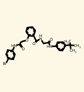 CC(C)(C)c1ccc(NC(=O)CNC(=O)c2ccccc2OCC(=O)Nc2ccc(Br)cc2)cc1